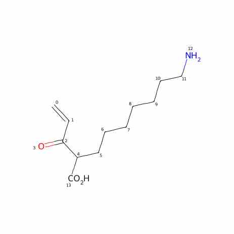 C=CC(=O)C(CCCCCCCN)C(=O)O